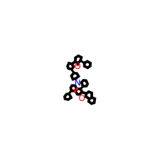 c1ccc(-c2ccc(N(c3ccc(-c4cccc5c4oc4c(-c6ccccc6)cccc45)cc3)c3ccccc3-c3cccc4oc5c6ccccc6ccc5c34)cc2)cc1